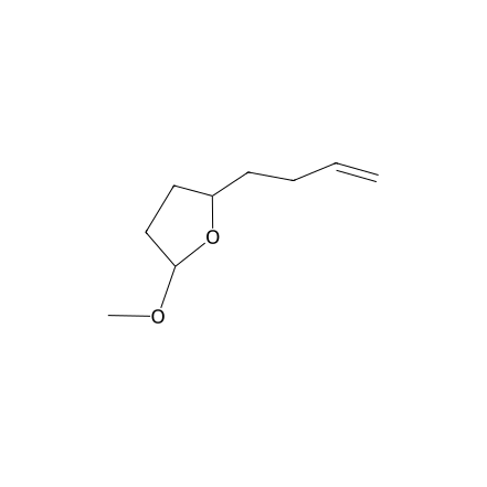 C=CCCC1CCC(OC)O1